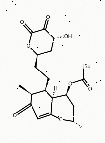 CCC(C)C(=O)O[C@H]1C[C@H](C)CC2=CC(=O)[C@@H](C)[C@@H](CC[C@@H]3C[C@@H](O)C(=O)C(=O)O3)[C@H]21